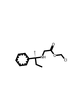 [CH2][C@@](CC)(NCC(=O)OCCl)c1ccccc1